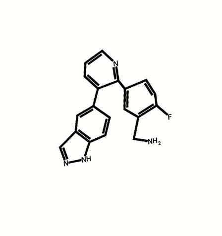 NCc1cc(-c2ncccc2-c2ccc3[nH]ncc3c2)ccc1F